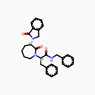 O=C(NCc1ccccc1)[C@@H](Cc1ccccc1)N1CCCC[C@H](N2Cc3ccccc3C2=O)C1=O